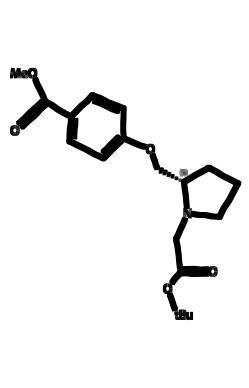 COC(=O)c1ccc(OC[C@@H]2CCCN2CC(=O)OC(C)(C)C)cc1